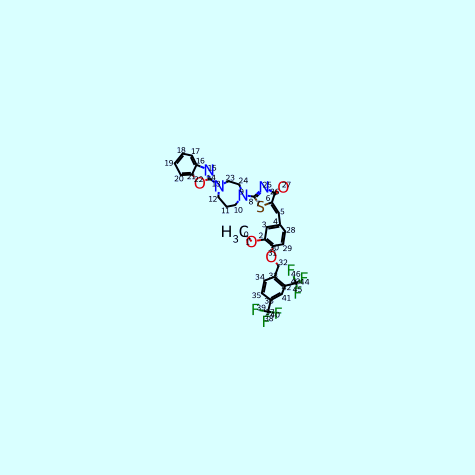 COc1cc(C=C2SC(N3CCCN(c4nc5ccccc5o4)CC3)=NC2=O)ccc1OCc1ccc(C(F)(F)F)cc1C(F)(F)F